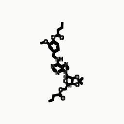 CCCC(=O)OC[C@H]1O[C@@H](n2cnc3c(NCc4ccc(OC(=O)CCC)c(OC)c4)ncnc32)C2OC(C)(C)OC21